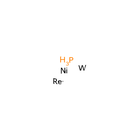 P.[Ni].[Re].[W]